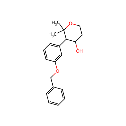 CC1(C)OCCC(O)C1c1cccc(OCc2ccccc2)c1